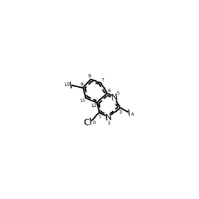 Clc1nc(I)nc2ccc(I)cc12